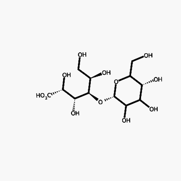 O=C(O)[C@H](O)[C@@H](O)[C@H](O[C@@H]1OC(CO)[C@H](O)C(O)C1O)[C@H](O)CO